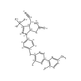 COc1ccc(F)c(-c2ccc(Cc3ccc(N4N=C(C(F)(F)F)C(CC#N)C4CC(=O)O)cc3)c(C)c2)c1